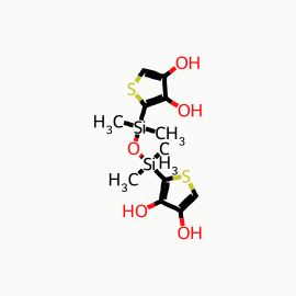 C[Si](C)(O[Si](C)(C)c1scc(O)c1O)c1scc(O)c1O